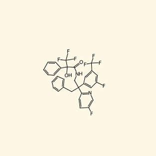 O=C(NCC(Cc1ccccc1)(c1cc(F)cc(C(F)(F)F)c1)c1ccc(F)cn1)C(O)(c1ccccc1)C(F)(F)F